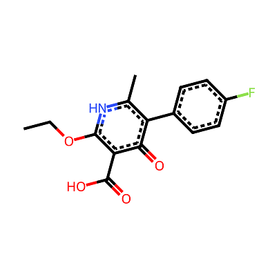 CCOc1[nH]c(C)c(-c2ccc(F)cc2)c(=O)c1C(=O)O